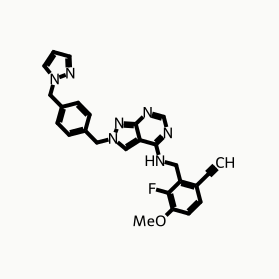 C#Cc1ccc(OC)c(F)c1CNc1ncnc2nn(Cc3ccc(Cn4cccn4)cc3)cc12